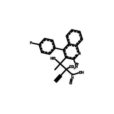 C#CC(C(=O)O)([PH](=O)O)C(C)(O)c1c(C(C)C)nc2ccccc2c1-c1ccc(F)cc1